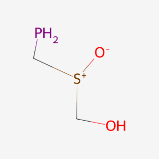 [O-][S+](CO)CP